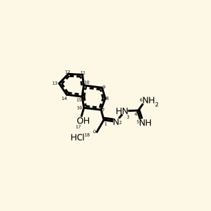 C/C(=N/NC(=N)N)c1ccc2ccccc2c1O.Cl